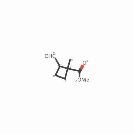 COC(=O)C1(C)CCC1C=O